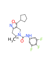 C[C@H]1Cc2noc(C3CCCC3)c2CN1C(=O)Nc1cc(F)c(F)c(F)c1